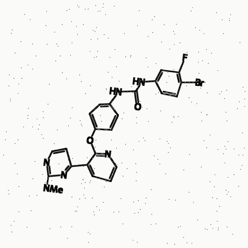 CNc1nccc(-c2cccnc2Oc2ccc(NC(=O)Nc3ccc(Br)c(F)c3)cc2)n1